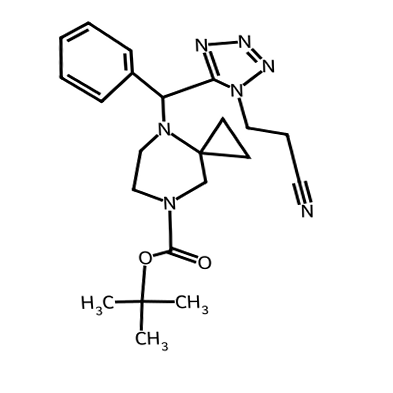 CC(C)(C)OC(=O)N1CCN(C(c2ccccc2)c2nnnn2CCC#N)C2(CC2)C1